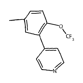 Cc1ccc(OC(F)(F)F)c(-c2ccncc2)c1